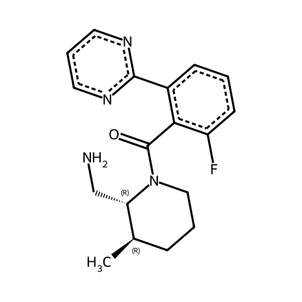 C[C@@H]1CCCN(C(=O)c2c(F)cccc2-c2ncccn2)[C@H]1CN